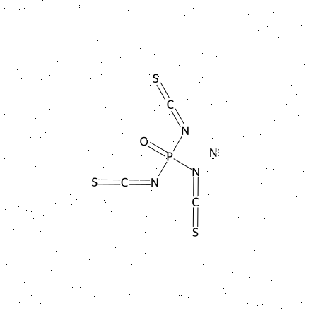 O=P(N=C=S)(N=C=S)N=C=S.[N]